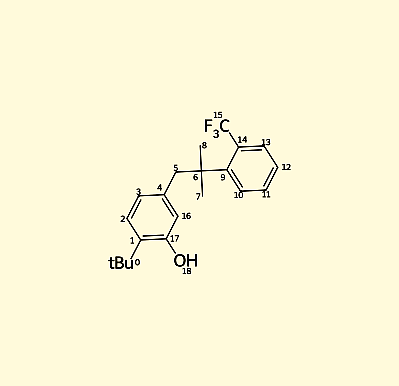 CC(C)(C)c1ccc(CC(C)(C)c2ccccc2C(F)(F)F)cc1O